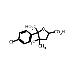 CC1(C)CC(C(=O)O)OC1(C(=O)O)c1ccc(Cl)cc1